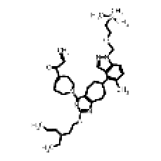 C=CC(=O)C1=CCCN(c2nc(OCCC(CC)CCC)nc3c2CCC(c2c(C)ccc4c2cnn4COCC[Si](C)(C)C)CC3)CC1